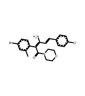 Cc1cc(Br)ccc1/C(C(=O)N1CCOCC1)=C(N)/C=C/c1ccc(Cl)cc1